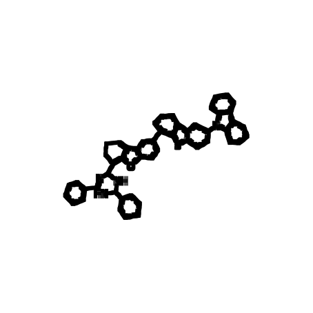 C1=c2c(oc3ccc(-c4cccc5c4sc4ccc(-n6c7ccccc7c7ccccc76)cc45)cc23)=C(C2N=C(c3ccccc3)NC(c3ccccc3)N2)CC1